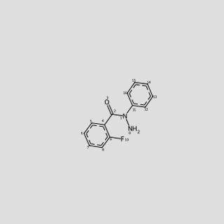 NN(C(=O)c1ccccc1F)c1ccccc1